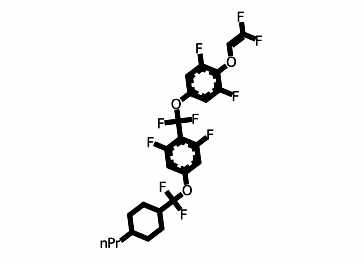 CCCC1CCC(C(F)(F)Oc2cc(F)c(C(F)(F)Oc3cc(F)c(OC=C(F)F)c(F)c3)c(F)c2)CC1